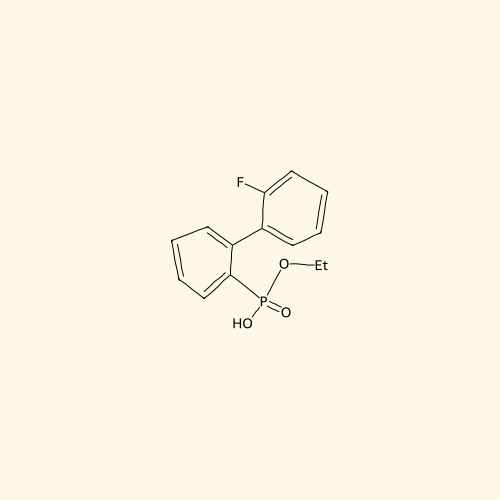 CCOP(=O)(O)c1ccccc1-c1ccccc1F